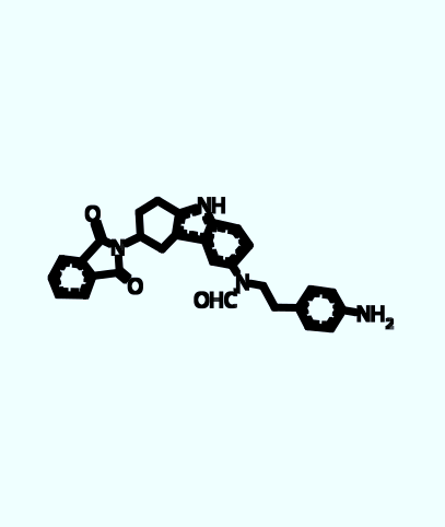 Nc1ccc(CCN(C=O)c2ccc3[nH]c4c(c3c2)CC(N2C(=O)c3ccccc3C2=O)CC4)cc1